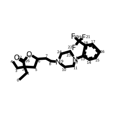 CCC1(CC)CC(CCN2CCN(c3ccccc3C(F)(F)F)CC2)OC1=O